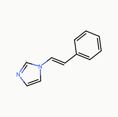 [c]1nccn1C=Cc1ccccc1